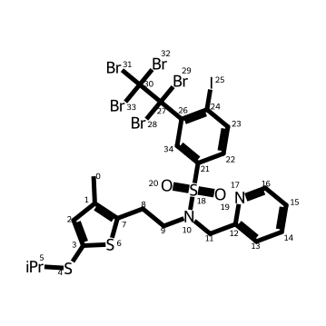 Cc1cc(SC(C)C)sc1CCN(Cc1ccccn1)S(=O)(=O)c1ccc(I)c(C(Br)(Br)C(Br)(Br)Br)c1